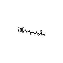 C=CC(=O)OCCCCCCCC[Si](Cl)(Cl)Cl